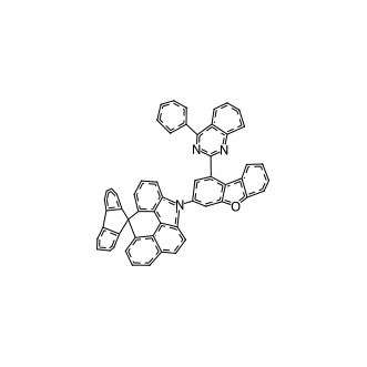 c1ccc(-c2nc(-c3cc(-n4c5cccc6c5c5c7c(cccc7ccc54)C64c5ccccc5-c5ccccc54)cc4oc5ccccc5c34)nc3ccccc23)cc1